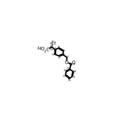 CC[C@H](C(=O)O)c1ccc(COC(=O)c2ccccc2)cc1